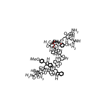 CCCCC(C(=O)N(C)C(CCCC)C(N)=O)N(C)C(=O)C(Cc1c(-c2ccc(OC)cc2)[nH]c2ccccc12)NC(=O)C(CO)NC(=O)C(Cc1c[nH]c2ccccc12)NC(=O)C1CCCN1C(=O)C(CC(C)C)NC(=O)C(CN)NC(=O)C1CCCN1C(=O)C(CC(N)=O)NC(=O)C(C)N(C)C(=O)C(Cc1ccc(O)cc1)NC(=O)CSCC(NC(=O)CNC(=N)N)C(=O)NCC(N)=O